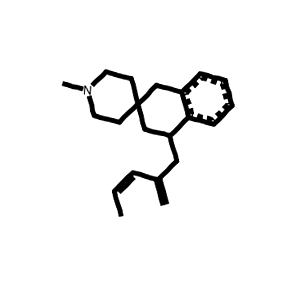 C=C(/C=C\C)CC1CC2(CCN(C)CC2)Cc2ccccc21